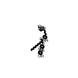 CCCCCCCCCCC(Oc1ccc(S(=O)(=O)c2ccc(O)cc2)cc1)C(=O)Nc1ccc(CCCC2=C3C=CN(C)[N+]3(Cl)N=N2)cc1